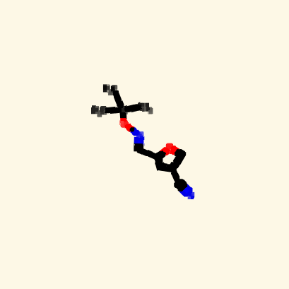 C[Si](C)(C)ON=Cc1cc(C#N)co1